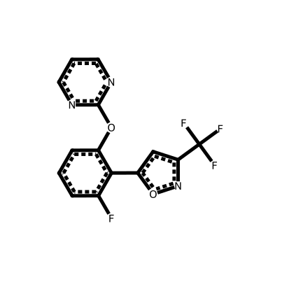 Fc1cccc(Oc2ncccn2)c1-c1cc(C(F)(F)F)no1